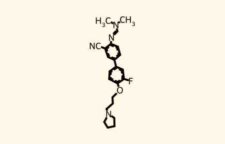 CN(C)C=Nc1ccc(-c2ccc(OCCCN3CCCC3)c(F)c2)cc1C#N